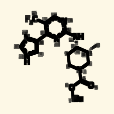 C[C@@H]1CN(C(=O)OC(C)(C)C)CC[C@@H]1Nc1ncc(C(F)(F)F)c(-c2c[nH]cn2)n1